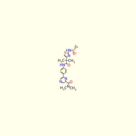 CN(C)C(=O)c1cncc(-c2ccc(NC(=O)C(C)(C)c3csc(N[S+]([O-])C4CC4)n3)cc2)n1